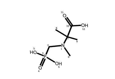 CN(CP(=O)(O)O)C(C)(C)C(=O)O